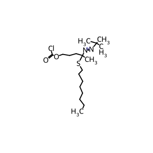 CCCCCCCCSC(C)(CCCOC(=O)Cl)/N=N/C(C)(C)C